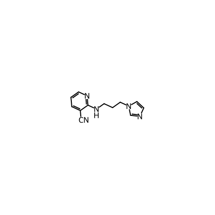 N#Cc1cccnc1NCCCn1ccnc1